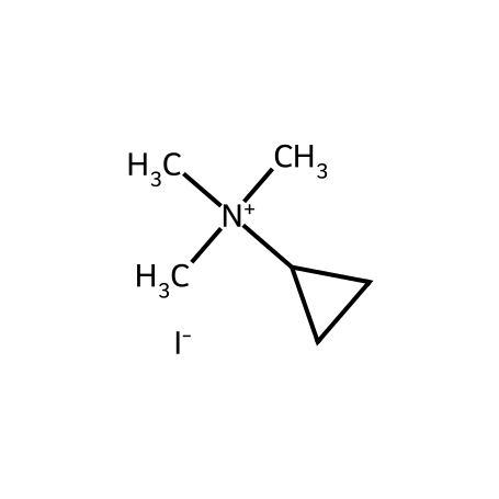 C[N+](C)(C)C1CC1.[I-]